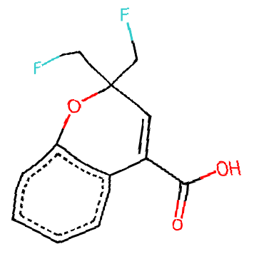 O=C(O)C1=CC(CF)(CF)Oc2ccccc21